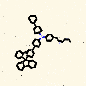 C/C=C\C=C/Cc1ccc(N(c2ccc(-c3ccccc3)cc2)c2ccc(-c3ccc(C4(c5ccccc5C)c5ccccc5-c5ccccc54)cc3)cc2)cc1